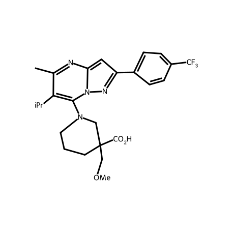 COCC1(C(=O)O)CCCN(c2c(C(C)C)c(C)nc3cc(-c4ccc(C(F)(F)F)cc4)nn23)C1